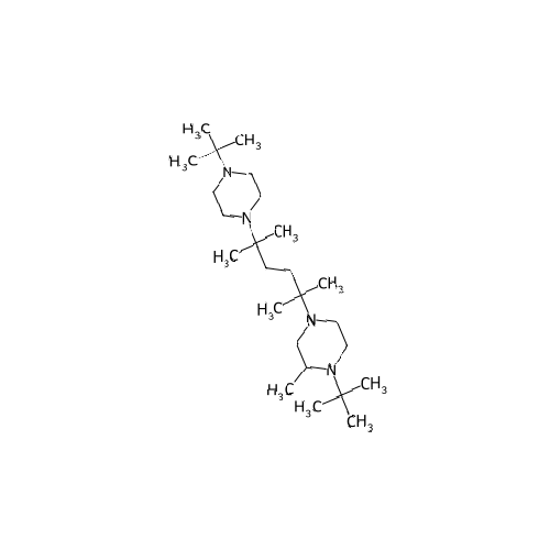 CC1CN(C(C)(C)CCC(C)(C)N2CCN(C(C)(C)C)CC2)CCN1C(C)(C)C